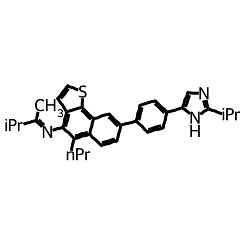 CCCc1c(/N=C(\C)C(C)C)c2ccsc2c2cc(-c3ccc(-c4cnc(C(C)C)[nH]4)cc3)ccc12